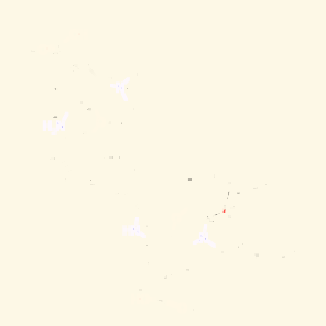 CCCCN(CCCCC1=CCC(Nc2cc(C(=O)O)cc(N(CCCC)CCCC)c2Oc2ccccc2)=C1)c1cc(C(=O)O)cc(N)c1Oc1ccccc1